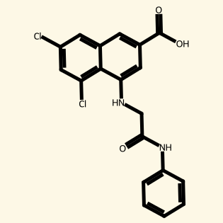 O=C(CNc1cc(C(=O)O)cc2cc(Cl)cc(Cl)c12)Nc1ccccc1